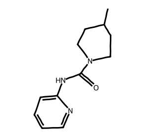 CC1CCN(C(=O)Nc2ccccn2)CC1